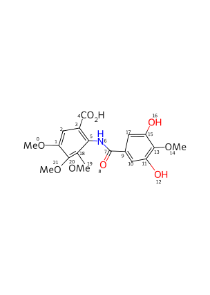 COc1cc(C(=O)O)c(NC(=O)c2cc(O)c(OC)c(O)c2)c(OC)c1OC